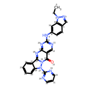 CCn1ncc2ccc(Nc3ncc4c(=O)n5c(nc4n3)c3ccccc3n5-c3ncccn3)cc21